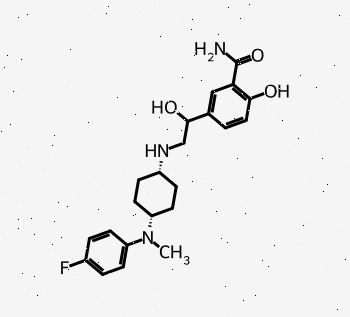 CN(c1ccc(F)cc1)[C@H]1CC[C@@H](NCC(O)c2ccc(O)c(C(N)=O)c2)CC1